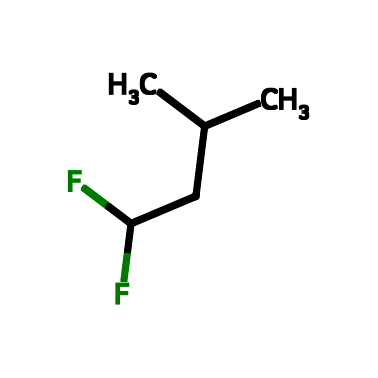 CC(C)CC(F)F